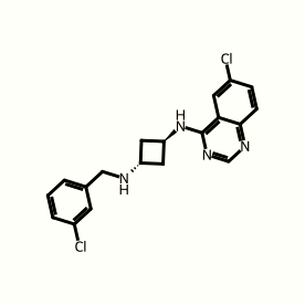 Clc1cccc(CN[C@H]2C[C@H](Nc3ncnc4ccc(Cl)cc34)C2)c1